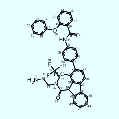 Cc1c(-c2ccc(NC(=O)c3ccccc3Oc3ccccc3)cc2)ccc2c1C(C(=O)N(CCN)CC(F)(F)F)c1ccccc1-2